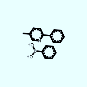 Cc1ccc(-c2ccccc2)nc1.OB(O)c1ccccc1